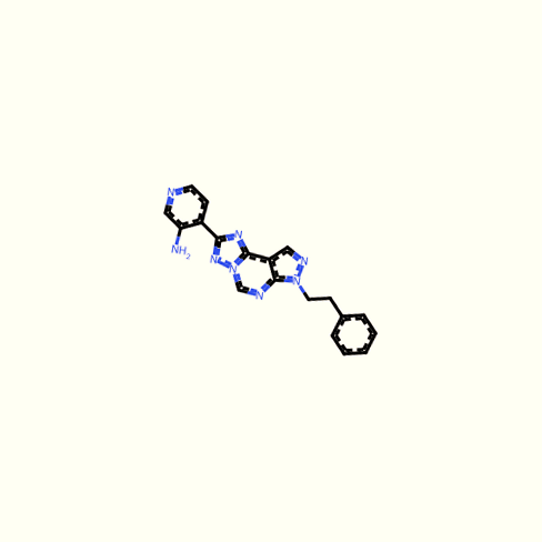 Nc1cnccc1-c1nc2c3cnn(CCc4ccccc4)c3ncn2n1